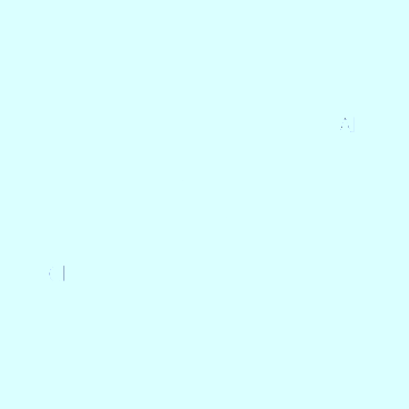 CC([CH2][Al])c1ccc(Cl)cc1